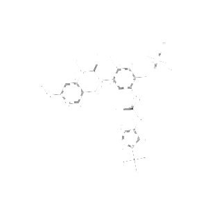 CNc1cc2c(cn1)CN(c1cc(NC(=O)Nc3cc(C(C)(C)C)on3)c(F)cc1C)C(=O)N2C.CS(=O)(=O)O